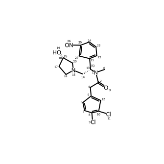 CN(C(=O)Cc1ccc(Cl)c(Cl)c1)[C@H](CN1CC[C@H](O)C1)c1cccc(N=O)c1